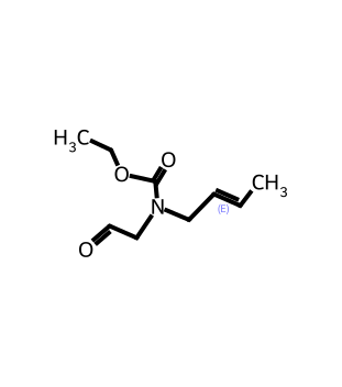 C/C=C/CN(CC=O)C(=O)OCC